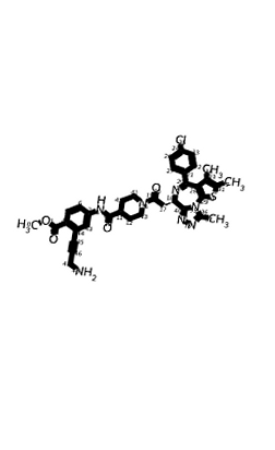 COC(=O)c1ccc(NC(=O)C2CCN(C(=O)C[C@@H]3N=C(c4ccc(Cl)cc4)c4c(sc(C)c4C)-n4c(C)nnc43)CC2)cc1C#CCN